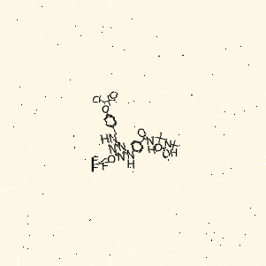 CC(C)(CNC(=O)c1ccc(Nc2nc(NCc3ccc(OCC4(CCl)COC4)cc3)nc(OCC(F)(F)F)n2)cc1)CN(C(=O)O)C(C)(C)C